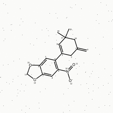 C=C1CC(c2cc3c(cc2[N+](=O)[O-])OCO3)=CC(C)(C)C1